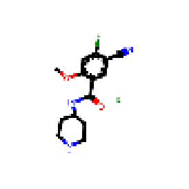 COc1cc(F)c(C#N)cc1C(=O)NC1CCNCC1.Cl